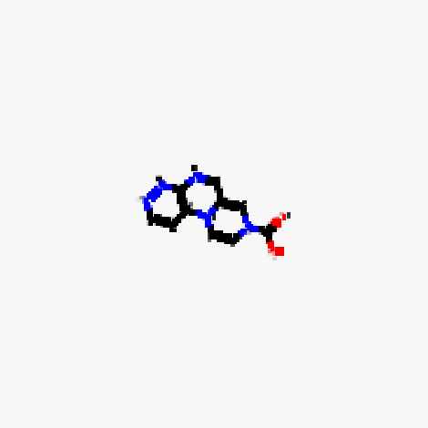 O=C(O)N1C=CN2C(=C1)C=Nc1nnccc12